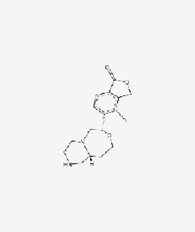 Cc1c([C@H]2CN3CCNC[C@H]3CCO2)ccc2c1COC2=O